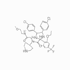 CCOc1cc(C(F)(F)F)ccc1C1(C(=O)N(CC(=O)NCCOC)C2CCNCC2)NC(c2ccc(Cl)cc2)C(c2ccc(Cl)cc2)N1